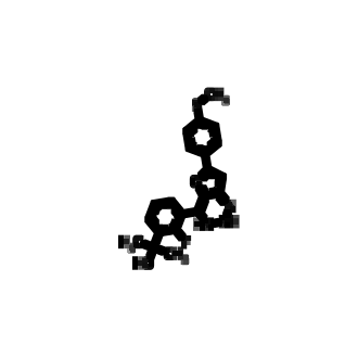 CSc1ccc(-c2cc3c(o2)=C(c2cccc(C(C)(C)O)c2F)NNN=3)cc1